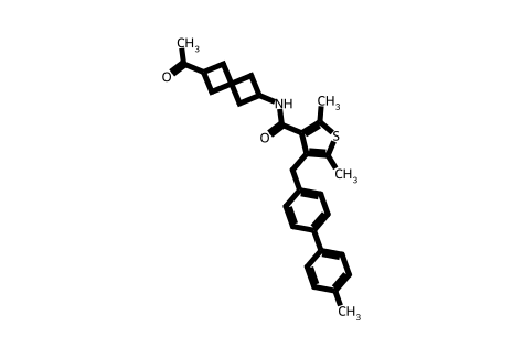 CC(=O)C1CC2(CC(NC(=O)c3c(C)sc(C)c3Cc3ccc(-c4ccc(C)cc4)cc3)C2)C1